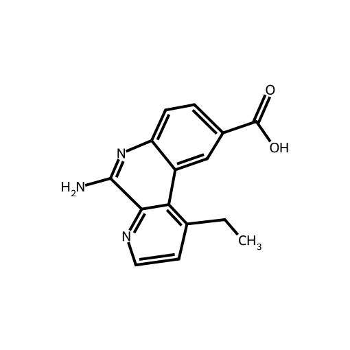 CCc1ccnc2c(N)nc3ccc(C(=O)O)cc3c12